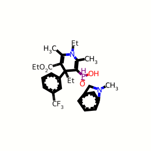 CCOC(=O)C1=C(C)N(CC)C(C)=C([PH](=O)O)C1(CC)c1cccc(C(F)(F)F)c1.CN1Cc2cccc1c2